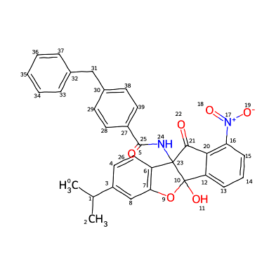 CC(C)c1ccc2c(c1)OC1(O)c3cccc([N+](=O)[O-])c3C(=O)C21NC(=O)c1ccc(Cc2ccccc2)cc1